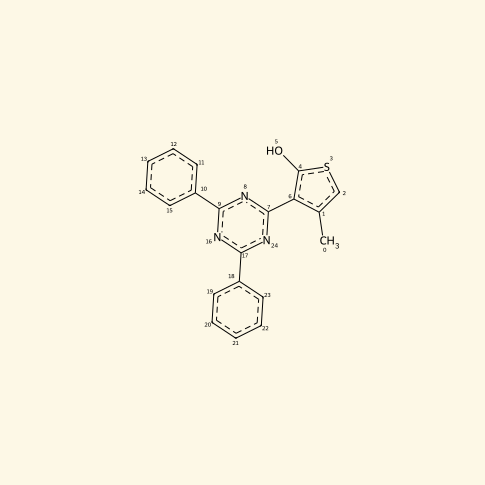 Cc1csc(O)c1-c1nc(-c2ccccc2)nc(-c2ccccc2)n1